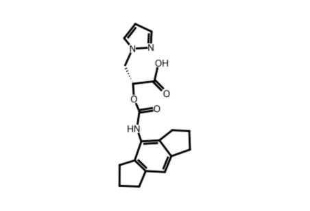 O=C(Nc1c2c(cc3c1CCC3)CCC2)O[C@H](Cn1cccn1)C(=O)O